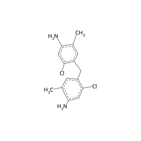 Cc1cc(Cc2cc(C)c(N)cc2Cl)c(Cl)cc1N